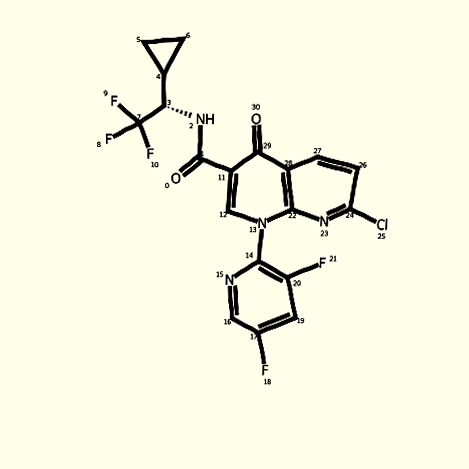 O=C(N[C@@H](C1CC1)C(F)(F)F)c1cn(-c2ncc(F)cc2F)c2nc(Cl)ccc2c1=O